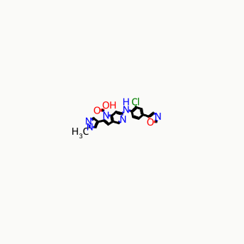 Cn1cc(-c2cc3cnc(Nc4ccc(-c5cnco5)cc4Cl)cc3n2C(=O)O)cn1